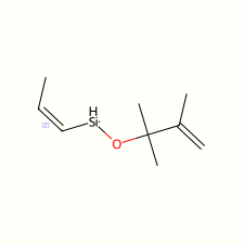 C=C(C)C(C)(C)O[SiH]/C=C\C